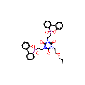 CCCOCCn1c(=O)n(CCP2(=O)Oc3ccccc3-c3ccccc32)c(=O)n(CCP2(=O)Oc3ccccc3-c3ccccc32)c1=O